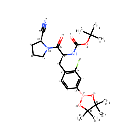 CC(C)(C)OC(=O)N[C@@H](Cc1ccc(B2OC(C)(C)C(C)(C)O2)cc1F)C(=O)N1CCC[C@H]1C#N